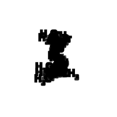 CCCCN(OS(=O)(=O)ON1C(=O)N2C[C@@H]1CC[C@H]2c1nnc(CC(CNC(=O)OC(C)(C)C)OS(=O)(=O)c2ccc(Br)cc2)o1)C(CCC)(CCCC)CCCC